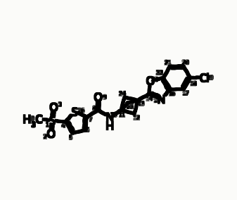 CS(=O)(=O)c1ccc(C(=O)NC23CC(c4nc5cc(Cl)ccc5o4)(C2)C3)s1